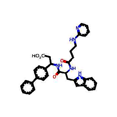 O=C(O)CC(NC(=O)C(Cc1cc2ccccc2[nH]1)NC(=O)CCCNc1ccccn1)c1ccc(-c2ccccc2)cc1